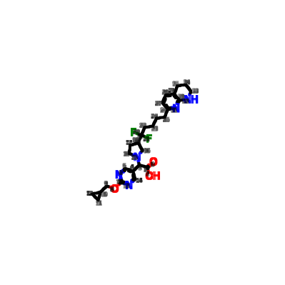 O=C(O)C(c1cnc(OCC2CC2)nc1)N1CC[C@@H](C(F)(F)CCCCc2ccc3c(n2)NCCC3)C1